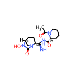 CC(=O)N1CCCC[C@@H]1C(=O)NC(=N)[C@@H]1CC[C@@H]2CN1C(=O)N2O